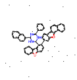 c1ccc(C2=NC(c3ccc4ccccc4c3)NC(c3c(-c4ccc5c(c4)oc4c6ccccc6ccc54)ccc4oc5ccccc5c34)N2)cc1